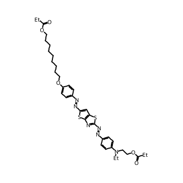 CCC(=O)OCCCCCCCCCOc1ccc(/N=N/c2cc3sc(/N=N/c4ccc(N(CC)CCOC(=O)CC)cc4)nc3s2)cc1